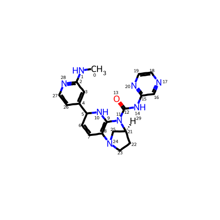 CNc1cc(C2C=CC3=C(N2)N(C(=O)Nc2cnccn2)[C@H]2CCN3C2)ccn1